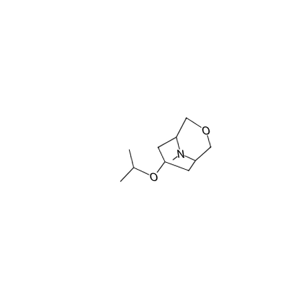 CC(C)OC1CC2COCC(C1)N2C